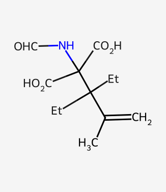 C=C(C)C(CC)(CC)C(NC=O)(C(=O)O)C(=O)O